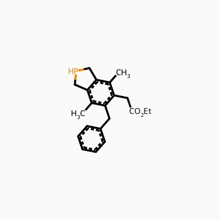 CCOC(=O)Cc1c(C)c2c(c(C)c1Cc1ccccc1)CPC2